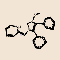 CSN1CN(/C=C2/C=CC=CN2)C(c2ccccc2)=C1c1ccccc1